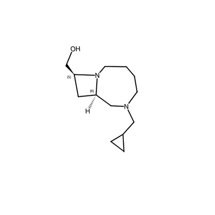 OC[C@@H]1C[C@@H]2CN(CC3CC3)CCCCN12